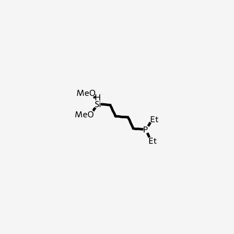 CCP(CC)CCCC[SiH](OC)OC